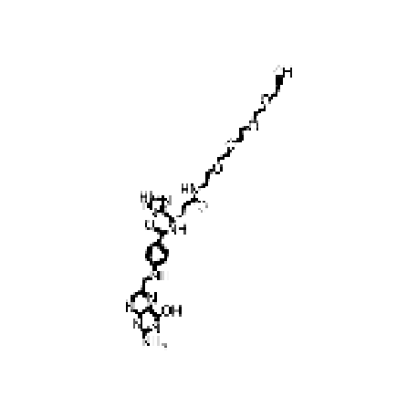 C#CCOCCOCCOCCOCCNC(=O)CC[C@H](NC(=O)c1ccc(NCc2cnc3nc(N)nc(O)c3n2)cc1)c1nn[nH]n1